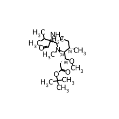 CC[C@H](C)[C@@H]([C@@H](CC(=O)OC(C)(C)C)OC)N(C)C[C@@](N)(C=O)C(C)C